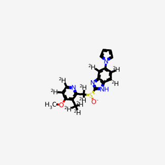 [2H]c1nc(C([2H])([2H])[S+]([O-])c2nc3c([2H])c(-n4cccc4)c([2H])c([2H])c3[nH]2)c(C([2H])([2H])[2H])c(OC)c1[2H]